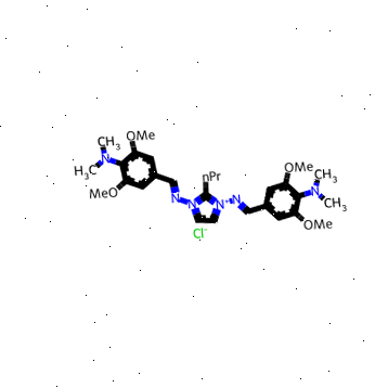 CCCc1n(/N=C/c2cc(OC)c(N(C)C)c(OC)c2)cc[n+]1/N=C/c1cc(OC)c(N(C)C)c(OC)c1.[Cl-]